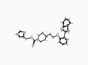 O=C(OCc1cncs1)N1CCC(CCOc2ccccc2-c2nc3ccccc3o2)CC1